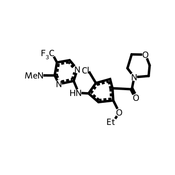 CCOc1cc(Nc2ncc(C(F)(F)F)c(NC)n2)c(Cl)cc1C(=O)N1CCOCC1